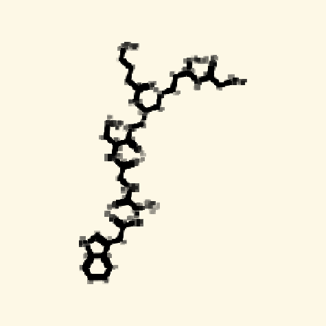 CCCCCCCCCCCCCC(=O)N[C@@H](CNC(=O)[C@H](CC(=O)O)NC(=O)CNC(=O)[C@@H](NC(=O)Cc1c[nH]c2ccccc12)[C@@H](C)CC)COCC[C@@H](CCCCCCC)OC(=O)CCCCCCCCCCC